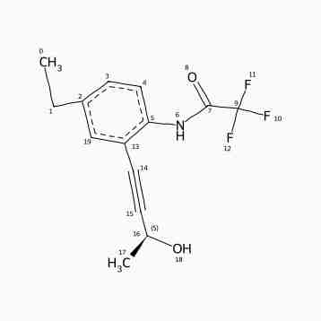 CCc1ccc(NC(=O)C(F)(F)F)c(C#C[C@H](C)O)c1